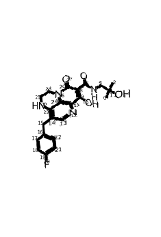 CC(C)(O)CNC(=O)c1c(O)c2ncc(Cc3ccc(F)cc3)c3c2n(c1=O)CCN3